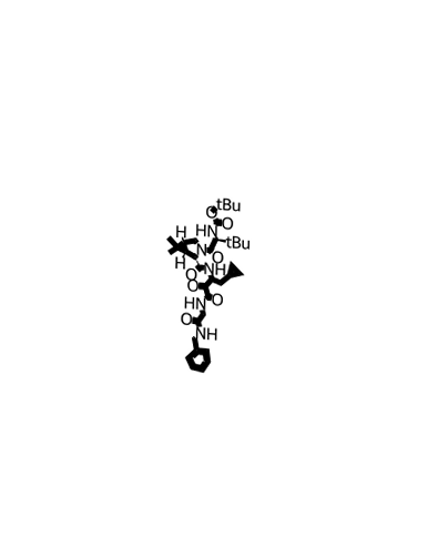 CC(C)(C)OC(=O)N[C@H](C(=O)N1C[C@H]2[C@@H]([C@H]1C(=O)NC(CC1CC1)C(=O)C(=O)NCC(=O)NCc1ccccc1)C2(C)C)C(C)(C)C